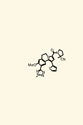 COc1cc2c(cc1-c1nnn(C)n1)-c1c(-c3cccs3)cc(C(=O)N3CCC[C@]3(C)C#N)n1CC2